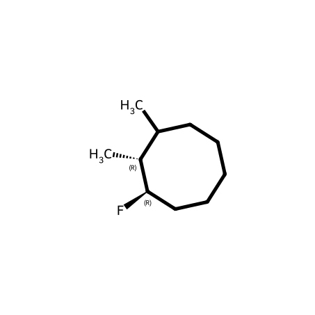 CC1CCCCC[C@@H](F)[C@@H]1C